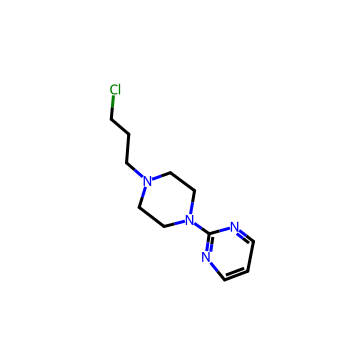 ClCCCN1CCN(c2ncccn2)CC1